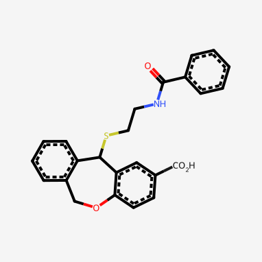 O=C(O)c1ccc2c(c1)C(SCCNC(=O)c1ccccc1)c1ccccc1CO2